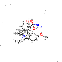 CCCOc1ccc2c3c1O[C@@]1(C(N)=O)[C@@H](O)C=C[C@H]4[C@@H](C2)N(C)CC[C@@]341